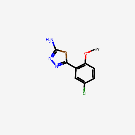 CC(C)Oc1ccc(Cl)cc1-c1nnc(N)s1